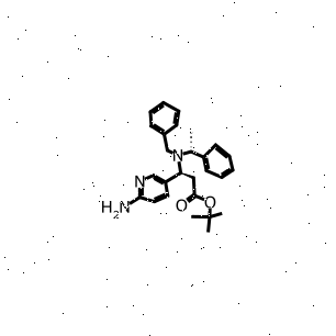 C[C@H](c1ccccc1)N(Cc1ccccc1)[C@@H](CC(=O)OC(C)(C)C)c1ccc(N)nc1